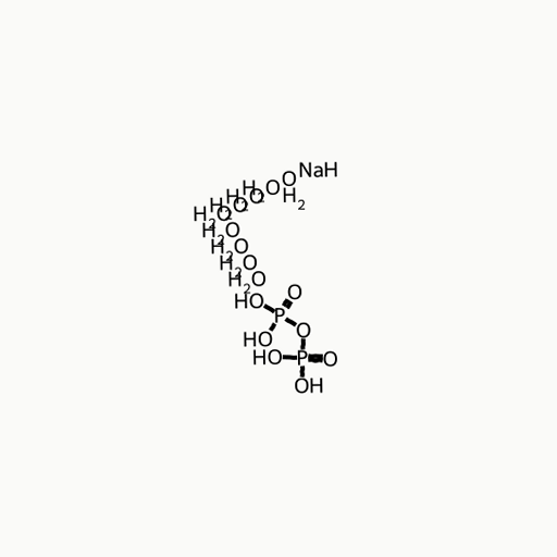 O.O.O.O.O.O.O.O.O.O=P(O)(O)OP(=O)(O)O.[NaH]